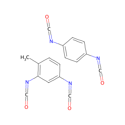 Cc1ccc(N=C=O)cc1N=C=O.O=C=Nc1ccc(N=C=O)cc1